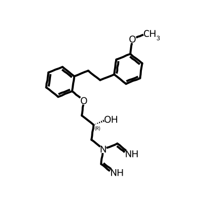 COc1cccc(CCc2ccccc2OC[C@H](O)CN(C=N)C=N)c1